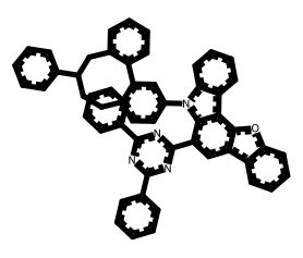 c1ccc(-c2nc(-c3ccccc3)nc(-c3cc4c5ccccc5oc4c4c5ccccc5n(-c5ccc6c(c5)-c5ccccc5CC(c5ccccc5)CC6)c34)n2)cc1